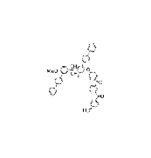 COc1ccc(C(C)(C)c2ccc(Oc3ccc(C(=O)c4cccc(C(=O)c5ccc(C)cc5)c4)cc3)c(-c3ccc(-c4ccccc4)cc3)c2)cc1-c1ccc(-c2ccccc2)cc1